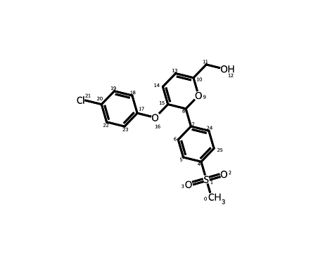 CS(=O)(=O)c1ccc(C2OC(CO)=CC=C2Oc2ccc(Cl)cc2)cc1